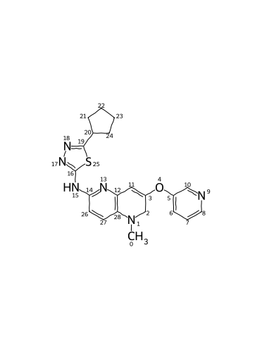 CN1CC(Oc2cccnc2)=Cc2nc(Nc3nnc(C4CCCC4)s3)ccc21